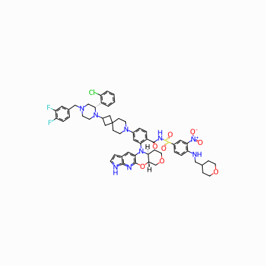 O=C(NS(=O)(=O)c1ccc(NCC2CCOCC2)c([N+](=O)[O-])c1)c1ccc(N2CCC3(CC2)CC(N2CCN(Cc4ccc(F)c(F)c4)C[C@@H]2c2ccccc2Cl)C3)cc1N1c2cc3cc[nH]c3nc2O[C@H]2COCC[C@@H]21